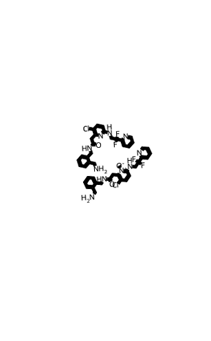 NCc1ccccc1CNC(=O)Cc1c(Cl)ccc(NCC(F)(F)c2ccccn2)[n+]1[O-].NCc1ccccc1CNC(=O)Cc1nc(NCC(F)(F)c2ccccn2)ccc1Cl